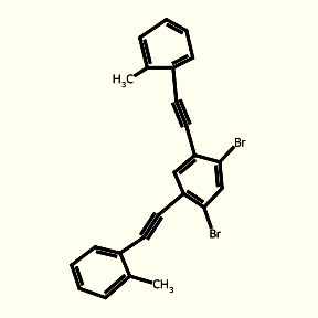 Cc1ccccc1C#Cc1cc(C#Cc2ccccc2C)c(Br)cc1Br